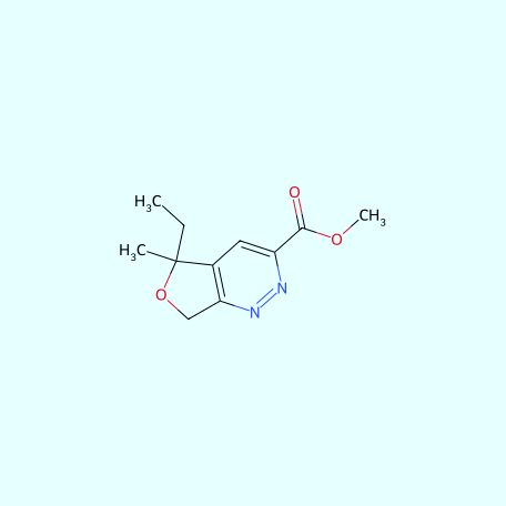 CCC1(C)OCc2nnc(C(=O)OC)cc21